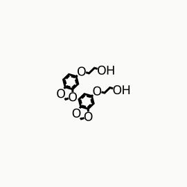 OCCOc1ccc2c(c1)OCO2.OCCOc1ccc2c(c1)OCO2